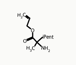 C=CCOC(=O)C(C)(N)C(C)CCC